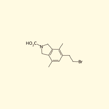 Cc1cc(CCBr)c(C)c2c1CN(C(=O)O)C2